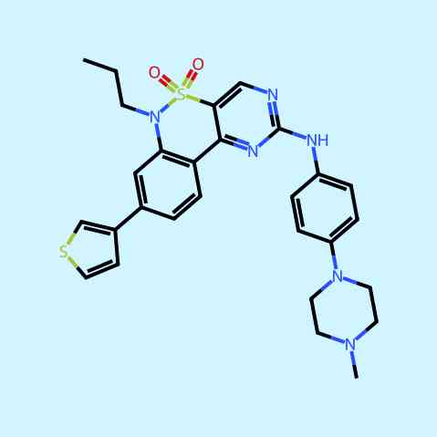 CCCN1c2cc(-c3ccsc3)ccc2-c2nc(Nc3ccc(N4CCN(C)CC4)cc3)ncc2S1(=O)=O